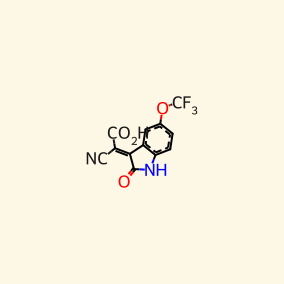 N#CC(C(=O)O)=C1C(=O)Nc2ccc(OC(F)(F)F)cc21